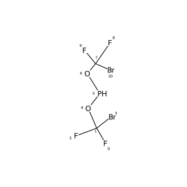 FC(F)(Br)OPOC(F)(F)Br